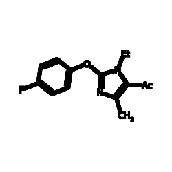 CCn1c(Oc2ccc(F)cc2)nc(C)c1C(C)=O